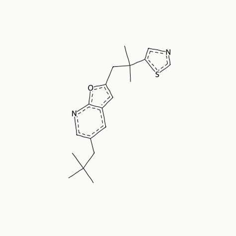 CC(C)(C)Cc1cnc2oc(CC(C)(C)c3cncs3)cc2c1